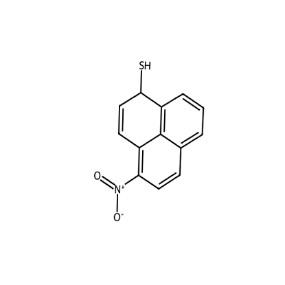 O=[N+]([O-])c1ccc2cccc3c2c1C=CC3S